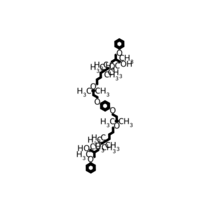 CC(C)(CCOc1ccc(OCCC(C)(C)OCCCCC(C)(C)C(C)(C)OCC(COc2ccccc2)C(C)(C)O)cc1)OCCCCC(C)(C)C(C)(C)OCC(COc1ccccc1)C(C)(C)O